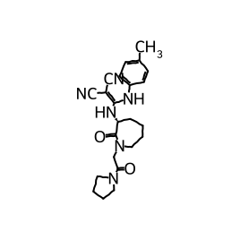 Cc1ccc(NC(N[C@H]2CCCCN(CC(=O)N3CCCC3)C2=O)=C(C#N)C#N)cc1